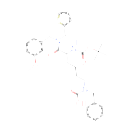 COc1cccc(CN(Cc2cccs2)C(=O)C(CCCCN(Cc2ccccc2)C(=O)O)NC(=O)OC(C)(C)C)c1